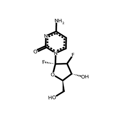 Nc1ccn([C@]2(F)O[C@H](CO)[C@@H](O)C2F)c(=O)n1